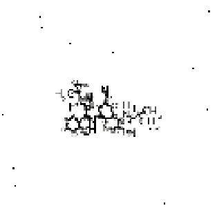 CC(C)(C)CNc1c(C#N)cnc2c(N[C@@H](c3ccccc3Cl)c3nnn(C4(C)CC4)c3F)cc(C#N)cc12